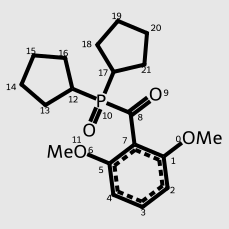 COc1cccc(OC)c1C(=O)P(=O)(C1CCCC1)C1CCCC1